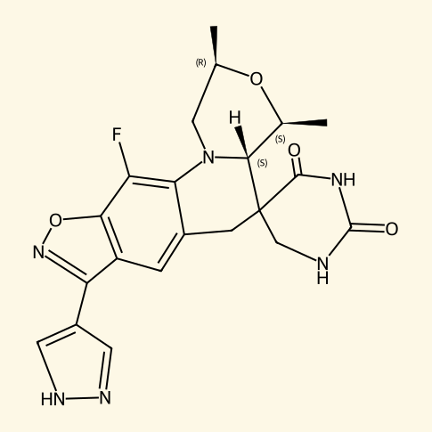 C[C@@H]1CN2c3c(cc4c(-c5cn[nH]c5)noc4c3F)CC3(CNC(=O)NC3=O)[C@H]2[C@H](C)O1